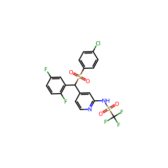 O=S(=O)(c1ccc(Cl)cc1)C(c1ccnc(NS(=O)(=O)C(F)(F)F)c1)c1cc(F)ccc1F